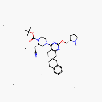 CN1CCC[C@H]1COc1nc2c(c(N3CCN(C(=O)OC(C)(C)C)[C@@H](CC#N)C3)n1)CC[C@]1(CCc3ccccc3C1)C2